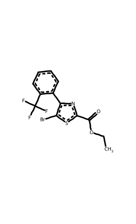 CCOC(=O)c1nc(-c2ccccc2C(F)(F)F)c(Br)s1